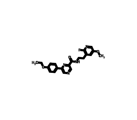 CCOc1ccc(-c2cncc(C(=O)NCCc3cc(OC)cnc3F)n2)cc1